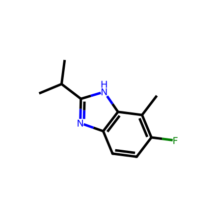 Cc1c(F)ccc2nc(C(C)C)[nH]c12